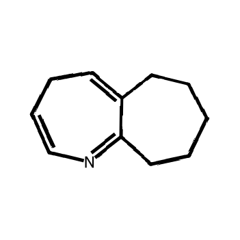 C1=CN=C2CCCCCC2=CC1